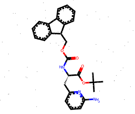 CC(C)(C)OC(=O)[C@H](Cc1cccc(N)n1)NC(=O)OCC1c2ccccc2-c2ccccc21